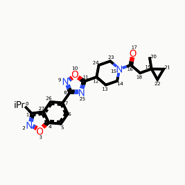 CC(C)c1noc2ccc(-c3noc(C4CCN(C(=O)CC5(C)CC5)CC4)n3)cc12